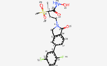 C[C@@](CCN1Cc2cc(-c3cc(F)ccc3F)ccc2C1=O)(C(=O)NO)S(C)(=O)=O